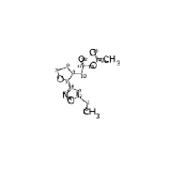 CCc1cc(C2OCCC2CC(=O)OC(C)=O)no1